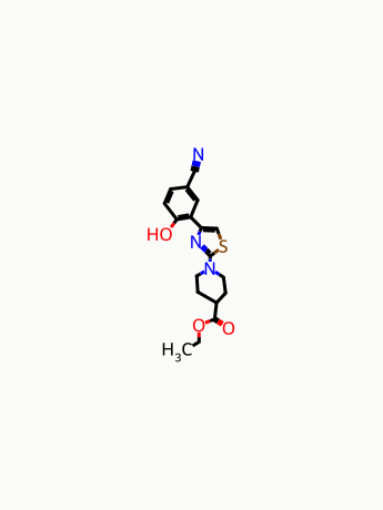 CCOC(=O)C1CCN(c2nc(-c3cc(C#N)ccc3O)cs2)CC1